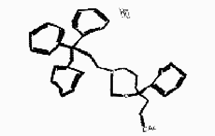 CC(=O)OCCC1(c2ccccc2)CCN(CCC(c2ccccc2)(c2ccccc2)c2ccccc2)CC1.Cl